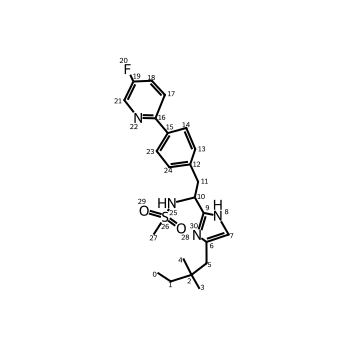 CCC(C)(C)Cc1c[nH]c(C(Cc2ccc(-c3ccc(F)cn3)cc2)NS(C)(=O)=O)n1